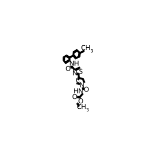 CCOC(=O)CNC(=O)N1CCC(c2nc(C(=O)Nc3ccccc3-c3ccc(CC)cc3)cs2)CC1